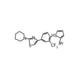 CC(C)C1=CC=C[SH]1c1ccc(-c2csc(N3CCCCC3)n2)cc1C(F)(F)F